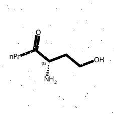 CCCC(=O)[C@@H](N)CCO